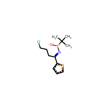 CC(C)(C)[S+]([O-])/N=C(\CCCCl)c1cccs1